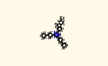 CCc1ccc2c(c1)C(C)(C)c1cc(-c3nc(-c4ccc(-c5ccccc5)cc4)nc(-c4ccc(-c5ccccc5)cc4)n3)ccc1-2